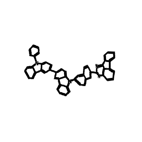 c1ccc(-n2c3ccccc3c3cc(-c4ccc5c(c4)c4ccccc4n5-c4ccc5cc(-c6nc7c8c(cccc8n6)-c6ccccc6-7)ccc5c4)ccc32)cc1